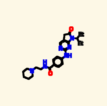 CCC(CC)N1C(=O)Cc2cnc(Nc3ccc(C(=O)NCCN4CCCCC4)cc3)nc21